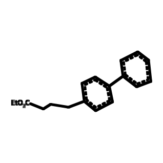 CCOC(=O)CCCc1ccc(-c2ccccc2)cc1